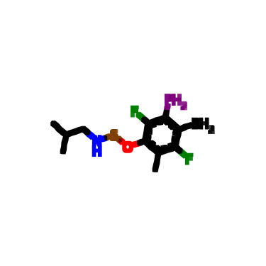 Bc1c(F)c(C)c(OSNCC(C)C)c(F)c1P